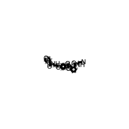 N#CCNC(=O)C1CCCCC1CS(=O)(=O)c1ccc(OCCNC(=O)N2CCOCC2)cc1